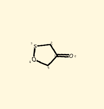 O=C1[CH]SOC1